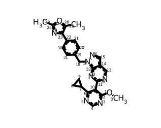 COc1ncnc(C2CC2)c1-c1ncc2cnn(Cc3ccc(-c4nc(C)oc4C)cc3)c2n1